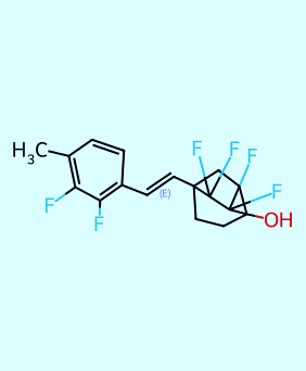 Cc1ccc(/C=C/C23CCC(O)(CC2)C(F)(F)C3(F)F)c(F)c1F